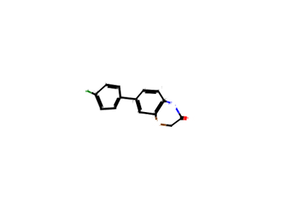 O=C1CSc2cc(-c3ccc(Cl)cc3)ccc2N1